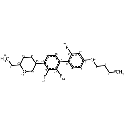 CCCCOc1ccc(-c2ccc(C3CCC(CC)OC3)c(F)c2F)c(F)c1